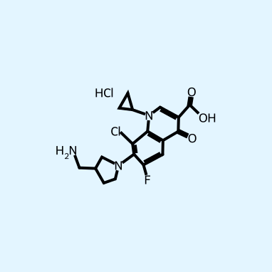 Cl.NCC1CCN(c2c(F)cc3c(=O)c(C(=O)O)cn(C4CC4)c3c2Cl)C1